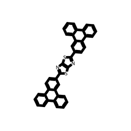 c1ccc2c(c1)c1ccccc1c1cc(-c3nc4sc(-c5ccc6c7ccccc7c7ccccc7c6c5)nc4s3)ccc21